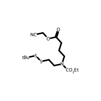 CCOC(=O)N(CCCC(=O)OCC#N)CCSSC(C)(C)C